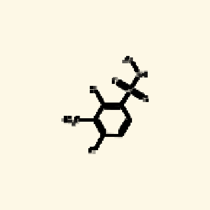 CC(C)(C)NS(=O)(=O)c1ccc(Cl)c(C(=O)O)c1Cl